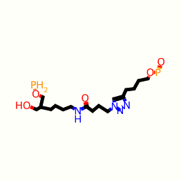 O=POCCCCc1cn(CCCC(=O)NCCCCC(CO)COP)nn1